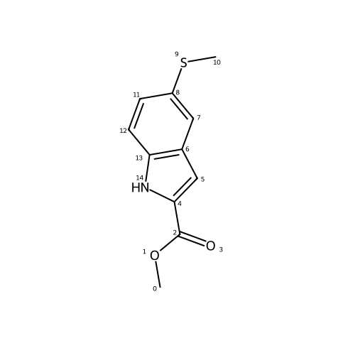 COC(=O)c1cc2cc(SC)ccc2[nH]1